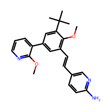 COc1ncccc1-c1cc(C=Cc2ccc(N)nc2)c(OC)c(C(C)(C)C)c1